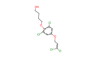 OCCCCOc1c(Cl)cc(OCC=C(Cl)Cl)cc1Cl